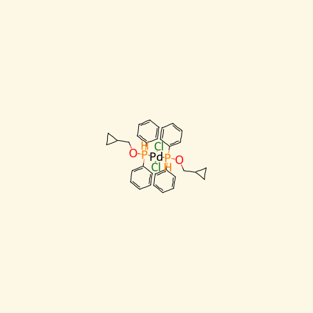 [Cl][Pd]([Cl])([PH](OCC1CC1)(c1ccccc1)c1ccccc1)[PH](OCC1CC1)(c1ccccc1)c1ccccc1